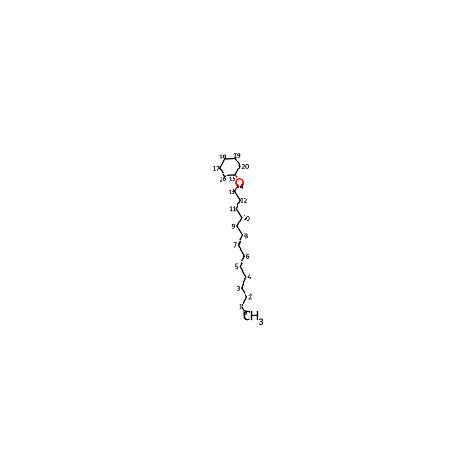 CCCCCCCCCCCCCCOC1CCCCC1